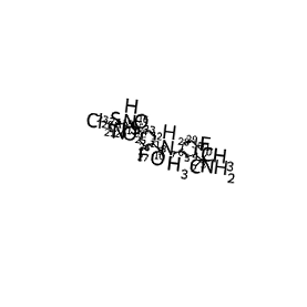 CC(C)(N)c1cc(CNC(=O)c2ccc(S(=O)(=O)Nc3ncc(Cl)s3)cc2F)ccc1F